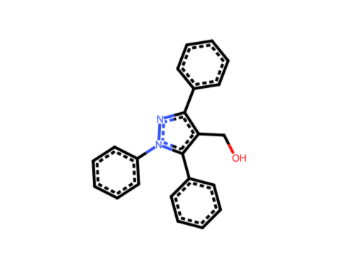 OCc1c(-c2ccccc2)nn(-c2ccccc2)c1-c1ccccc1